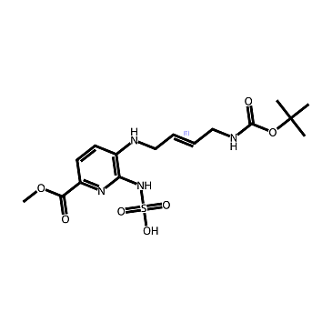 COC(=O)c1ccc(NC/C=C/CNC(=O)OC(C)(C)C)c(NS(=O)(=O)O)n1